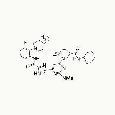 CNc1nc(-c2c[nH]c(C(=O)Nc3cccc(F)c3N3CCC(CN)CC3)n2)cc(N2CC(C(=O)NC3CCCCC3)CC[C@@H]2C)n1